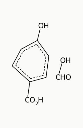 O=C(O)c1ccc(O)cc1.O=CO